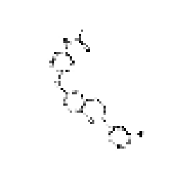 CC(=O)Nc1ccc(Oc2ccc3c(c2)CCC(c2cccc(F)c2)O3)nc1